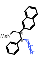 CNC[C@@H](c1ccc2ccccc2c1)[C@@H](N=[N+]=[N-])c1ccccc1